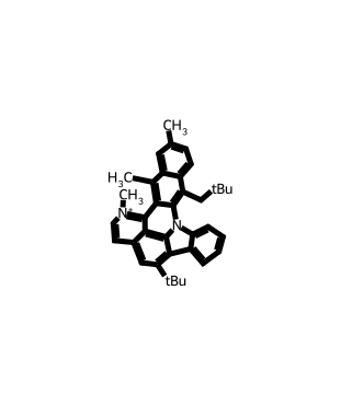 Cc1ccc2c(CC(C)(C)C)c3c(c(C)c2c1)c1c2c(cc[n+]1C)cc(C(C)(C)C)c1c4ccccc4n3c12